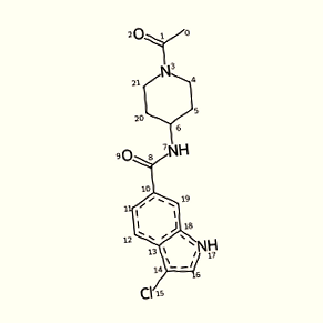 CC(=O)N1CCC(NC(=O)c2ccc3c(Cl)c[nH]c3c2)CC1